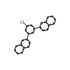 Clc1cc(-c2ccc3ccccc3c2)cc(-c2ccc3ccccc3c2)c1